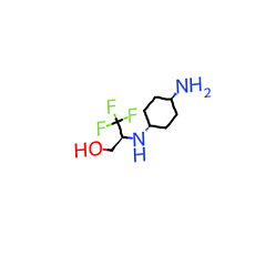 N[C@H]1CC[C@H](N[C@@H](CO)C(F)(F)F)CC1